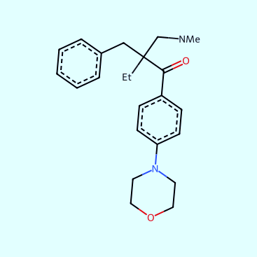 CCC(CNC)(Cc1ccccc1)C(=O)c1ccc(N2CCOCC2)cc1